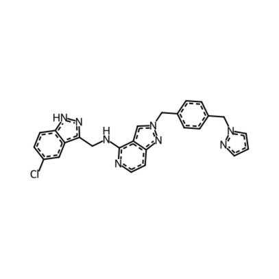 Clc1ccc2[nH]nc(CNc3nccc4nn(Cc5ccc(Cn6cccn6)cc5)cc34)c2c1